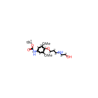 COc1cc(NC(=O)OC(C)(C)C)cc(OC)c1OCCCNCCO